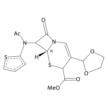 COC(=O)C1S[C@@H]2C(N(C(C)=O)c3cccs3)C(=O)N2C=C1C1OCCO1